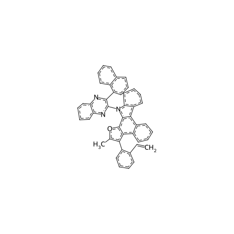 C=Cc1ccccc1-c1c(C)oc2c1c1ccccc1c1c3ccccc3n(-c3nc4ccccc4nc3-c3cccc4ccccc34)c21